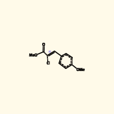 COC(=O)/C(Cl)=C/c1ccc(OC)cc1